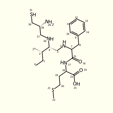 CC[C@H](C)[C@@H](CNC(Cc1ccccc1)C(=O)NC(CCSC)C(=O)O)NC[C@@H](N)CS